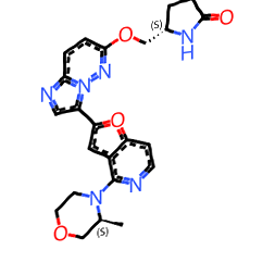 C[C@H]1COCCN1c1nccc2oc(-c3cnc4ccc(OC[C@@H]5CCC(=O)N5)nn34)cc12